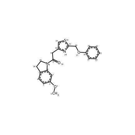 COc1ccc2c(c1)N(C(=O)Cc1csc(COc3ccccc3)n1)CC2